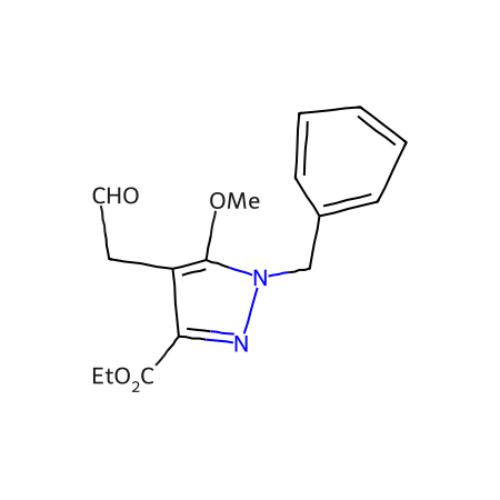 CCOC(=O)c1nn(Cc2ccccc2)c(OC)c1CC=O